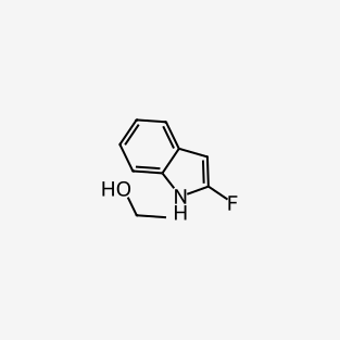 CCO.Fc1cc2ccccc2[nH]1